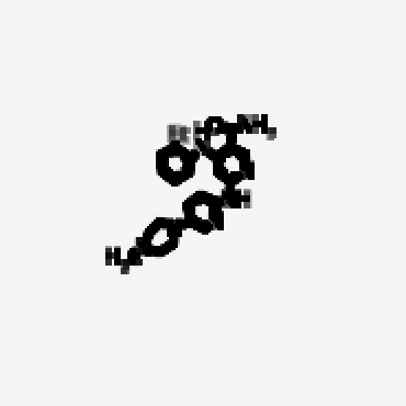 CCc1ccccc1Nc1cc(Nc2ccc(N3CCN(C)CC3)cn2)ncc1C(N)=O